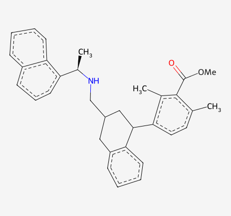 COC(=O)c1c(C)ccc(C2CC(CN[C@H](C)c3cccc4ccccc34)Cc3ccccc32)c1C